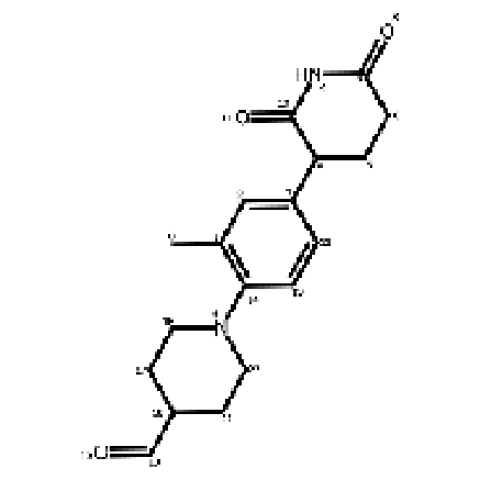 Cc1cc(C2CCC(=O)NC2=O)ccc1N1CCC(C=O)CC1